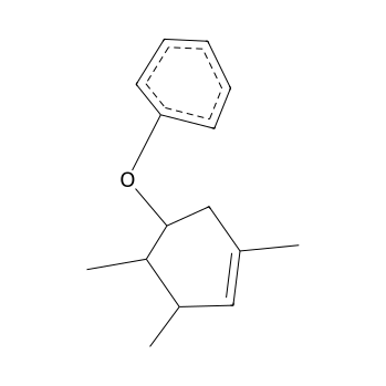 CC1=CC(C)C(C)C(Oc2ccccc2)C1